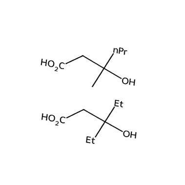 CCC(O)(CC)CC(=O)O.CCCC(C)(O)CC(=O)O